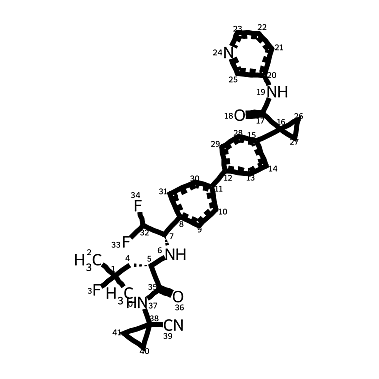 CC(C)(F)C[C@H](N[C@@H](c1ccc(-c2ccc(C3(C(=O)Nc4cccnc4)CC3)cc2)cc1)C(F)F)C(=O)NC1(C#N)CC1